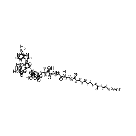 C=C(CC=CCCCCC)CCCCCCCCC(=O)SCCNC(=O)CCNC(=O)[C@H](O)C(C)(C)COP(=O)(O)OP(=O)(O)OC[C@H]1O[C@@H](n2cnc3c(N)ncnc32)[C@H](O)[C@@H]1OP(=O)(O)O